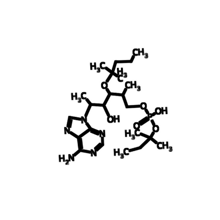 CCCC(C)(C)OC(C(C)COP(=O)(O)OC(C)(C)CC)C(O)C(C)n1cnc2c(N)ncnc21